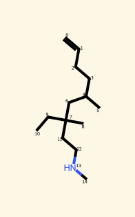 C=CCCC(C)CC(C)(CC)CCNC